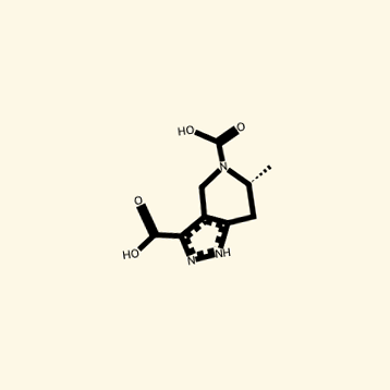 C[C@@H]1Cc2[nH]nc(C(=O)O)c2CN1C(=O)O